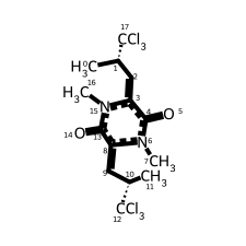 C[C@@H](/C=c1/c(=O)n(C)/c(=C\[C@H](C)C(Cl)(Cl)Cl)c(=O)n1C)C(Cl)(Cl)Cl